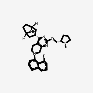 CN1CCC[C@H]1COc1nc2c(c([C@H]3C[C@H]4CC[C@@H](C3)N4)n1)CCN(c1cccc3cccc(F)c13)C2